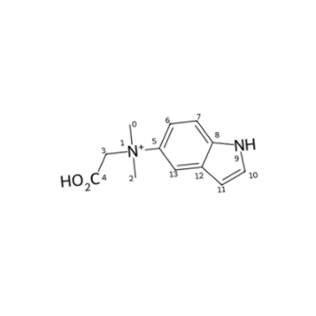 C[N+](C)(CC(=O)O)c1ccc2[nH]ccc2c1